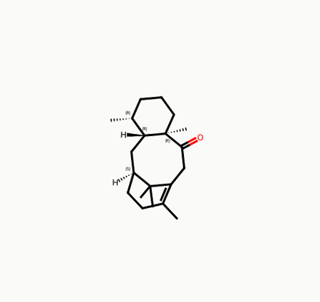 CC1=C2CC(=O)[C@]3(C)CCC[C@@H](C)[C@H]3C[C@H](CC1)C2(C)C